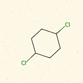 Cl[C]1CCC(Cl)CC1